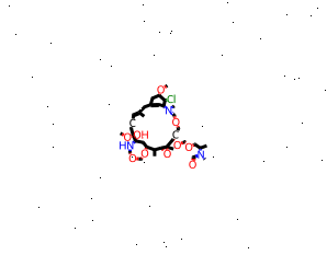 COC1CC2=CC(C1Cl)N(C)COCCC(OCOCC(C)N(C)C=O)C1(C)OC1C(C)C1CC(O)(NCOCO1)C(OC)CC/C=C(\C)C2